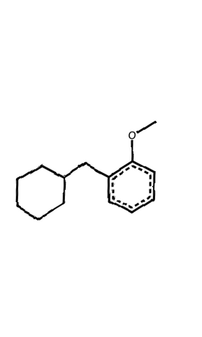 COc1ccccc1C[C]1CCCCC1